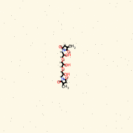 C=C1CC(=O)N(CC(O)COCC(O)COCC(O)CN2C(=O)CC(=C)C2=O)C1=O